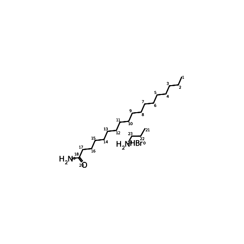 Br.CCCCCCCCCCCCCCCCCC(N)=O.CCCN